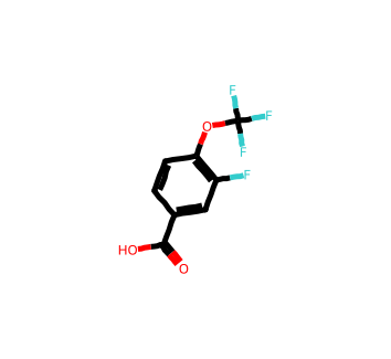 O=C(O)c1ccc(OC(F)(F)F)c(F)c1